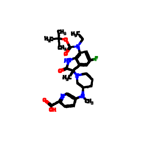 CCN(C(=O)OC(C)(C)C)c1cc(F)cc2c1NC(=O)C2(C)N1CCC[C@@H](N(C)c2ccc(C(=O)O)nc2)C1